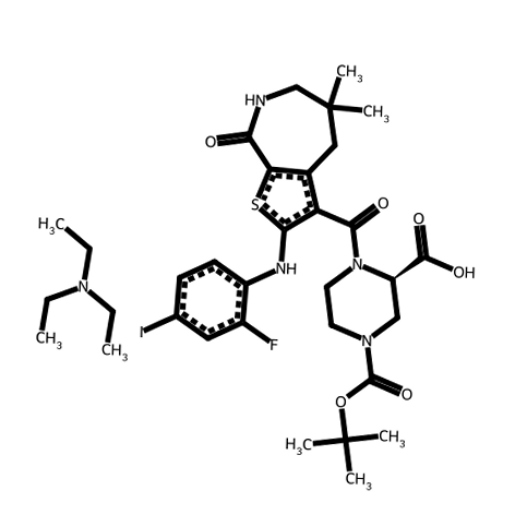 CC1(C)CNC(=O)c2sc(Nc3ccc(I)cc3F)c(C(=O)N3CCN(C(=O)OC(C)(C)C)C[C@@H]3C(=O)O)c2C1.CCN(CC)CC